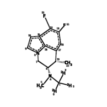 [2H]C([2H])([2H])N(C)[C@@H]1Cn2ccc3c(F)c(F)cc(c32)[C@@H]1C